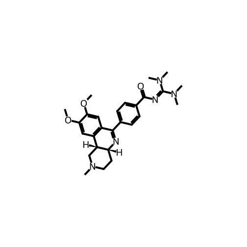 COc1cc2c(cc1OC)[C@H]1CN(C)CC[C@H]1N=C2c1ccc(C(=O)N=C(N(C)C)N(C)C)cc1